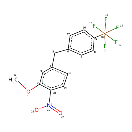 COc1cc(Cc2ccc(S(F)(F)(F)(F)F)cc2)ccc1[N+](=O)[O-]